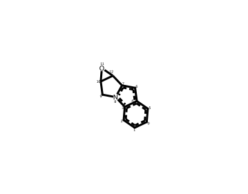 c1ccc2c(c1)cc1n2CC2OC12